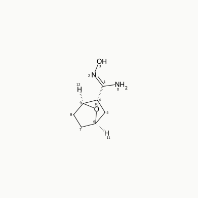 NC(=NO)[C@@H]1C[C@H]2CC[C@@H]1O2